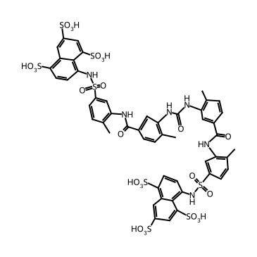 Cc1ccc(C(=O)Nc2cc(S(=O)(=O)Nc3ccc(S(=O)(=O)O)c4cc(S(=O)(=O)O)cc(S(=O)(=O)O)c34)ccc2C)cc1NC(=O)Nc1cc(C(=O)Nc2cc(S(=O)(=O)Nc3ccc(S(=O)(=O)O)c4cc(S(=O)(=O)O)cc(S(=O)(=O)O)c34)ccc2C)ccc1C